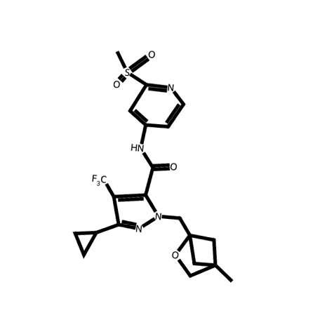 CC12COC(Cn3nc(C4CC4)c(C(F)(F)F)c3C(=O)Nc3ccnc(S(C)(=O)=O)c3)(C1)C2